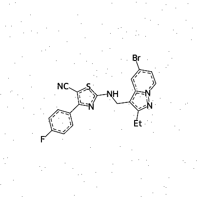 CCc1nn2ccc(Br)cc2c1CNc1nc(-c2ccc(F)cc2)c(C#N)s1